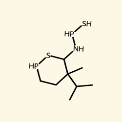 CC(C)C1(C)CCPSC1NPS